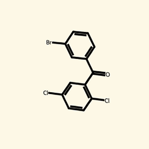 O=C(c1cccc(Br)c1)c1cc(Cl)ccc1Cl